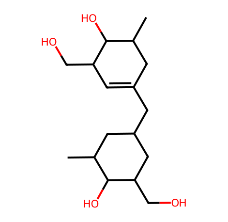 CC1CC(CC2CC(C)C(O)C(CO)C2)=CC(CO)C1O